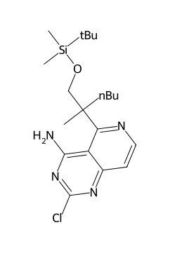 CCCCC(C)(CO[Si](C)(C)C(C)(C)C)c1nccc2nc(Cl)nc(N)c12